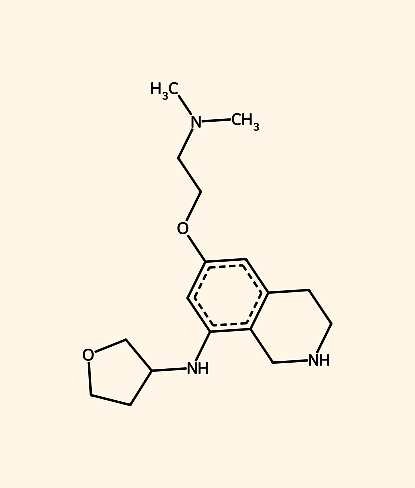 CN(C)CCOc1cc2c(c(NC3CCOC3)c1)CNCC2